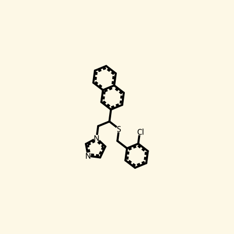 Clc1ccccc1CSC(Cn1ccnc1)c1ccc2ccccc2c1